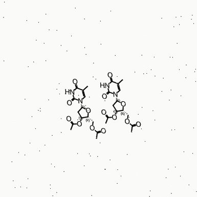 CC(=O)OC[C@H]1O[C@@H](n2cc(C)c(=O)[nH]c2=O)C[C@@H]1OC(C)=O.CC(=O)OC[C@H]1O[C@@H](n2cc(C)c(=O)[nH]c2=O)C[C@@H]1OC(C)=O